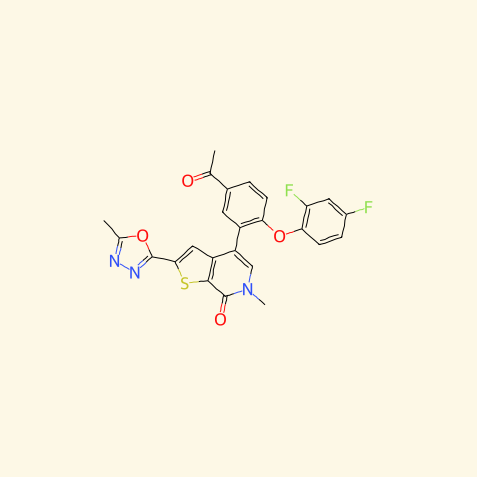 CC(=O)c1ccc(Oc2ccc(F)cc2F)c(-c2cn(C)c(=O)c3sc(-c4nnc(C)o4)cc23)c1